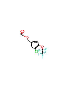 O=COCc1ccc(OC(F)(F)C(F)(F)F)c(Cl)c1